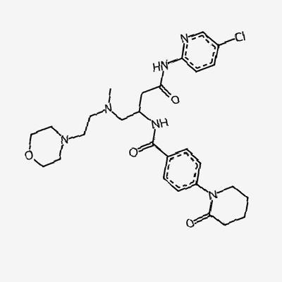 CN(CCN1CCOCC1)CC(CC(=O)Nc1ccc(Cl)cn1)NC(=O)c1ccc(N2CCCCC2=O)cc1